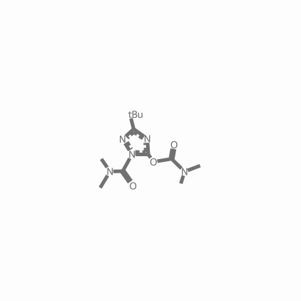 CN(C)C(=O)Oc1nc(C(C)(C)C)nn1C(=O)N(C)C